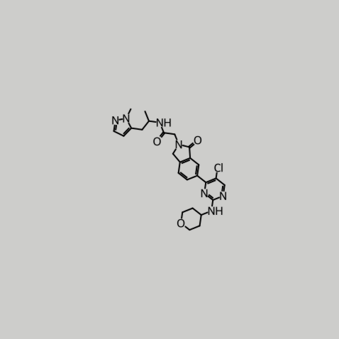 CC(Cc1ccnn1C)NC(=O)CN1Cc2ccc(-c3nc(NC4CCOCC4)ncc3Cl)cc2C1=O